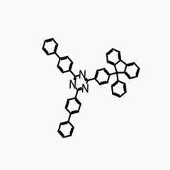 c1ccc(-c2ccc(-c3nc(-c4ccc(-c5ccccc5)cc4)nc(-c4ccc(C5(c6ccccc6)c6ccccc6-c6ccccc65)cc4)n3)cc2)cc1